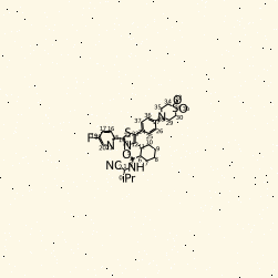 CC(C)C(C#N)NC(=O)C1CCCC[C@H]1c1nc(-c2ccc(F)cn2)sc1-c1ccc(N2CCS(=O)(=O)CC2)cc1